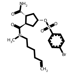 C=CCCCCN(C)C(=O)[C@@H]1C[C@@H](OS(=O)(=O)c2ccc(Br)cc2)C[C@H]1C(N)=O